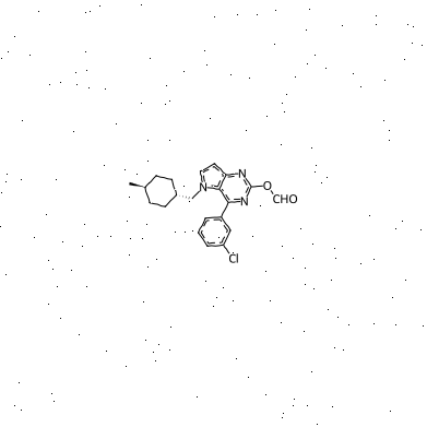 C[C@H]1CC[C@H](Cn2ccc3nc(OC=O)nc(-c4cccc(Cl)c4)c32)CC1